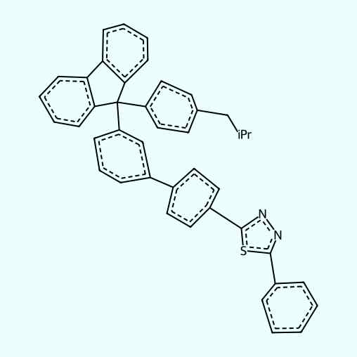 CC(C)Cc1ccc(C2(c3cccc(-c4ccc(-c5nnc(-c6ccccc6)s5)cc4)c3)c3ccccc3-c3ccccc32)cc1